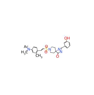 CC(=O)N(C)c1ccc(/C=C/S(=O)(=O)N2CCC3(CC2)C(=O)N2C(c4cccc(O)c4)N23)c(C)c1